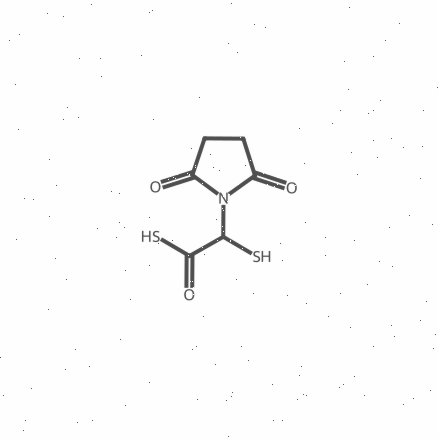 O=C(S)C(S)N1C(=O)CCC1=O